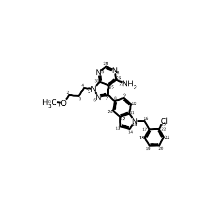 COCCCn1nc(-c2ccc3c(ccn3Cc3ccccc3Cl)c2)c2c(N)ncnc21